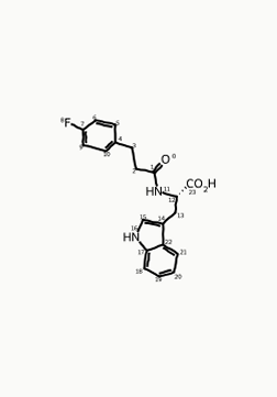 O=C(CCc1ccc(F)cc1)N[C@@H](Cc1c[nH]c2ccccc12)C(=O)O